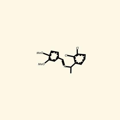 COc1ccc(C=NC(C)c2cccc(Cl)c2Cl)cc1OC